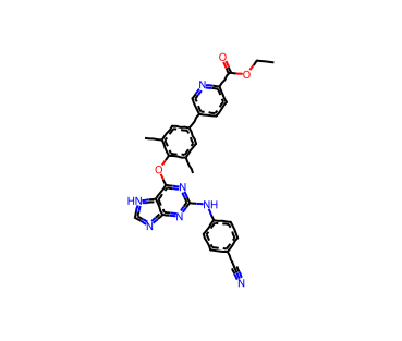 CCOC(=O)c1ccc(-c2cc(C)c(Oc3nc(Nc4ccc(C#N)cc4)nc4nc[nH]c34)c(C)c2)cn1